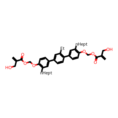 C=C(CO)C(=O)OCOc1ccc(-c2ccc(-c3ccc(OCOC(=O)C(=C)CO)c(CCCCCCC)c3)c(CC)c2)cc1CCCCCCC